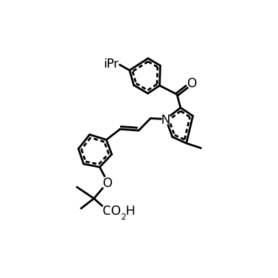 Cc1cc(C(=O)c2ccc(C(C)C)cc2)n(C/C=C/c2cccc(OC(C)(C)C(=O)O)c2)c1